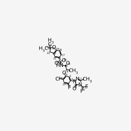 Cc1nn(-c2cc(OC(C)C(=O)NS(=O)(=O)c3ccc4c(c3)CC(C)(C)O4)c(Cl)cc2F)c(=O)n1C(F)F